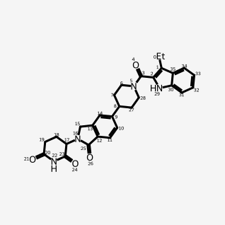 CCc1c(C(=O)N2CCC(c3ccc4c(c3)CN(C3CCC(=O)NC3=O)C4=O)CC2)[nH]c2ccccc12